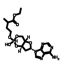 CCOC(=O)C(C)CCO[PH]1(O)OC[C@@H]2O[C@H](n3cnc4c(N)ncnc43)C[C@H]2O1